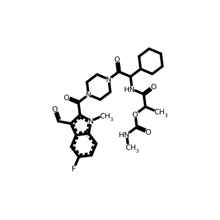 CNC(=O)OC(C)C(=O)NC(C(=O)N1CCN(C(=O)c2c(C=O)c3cc(F)ccc3n2C)CC1)C1CCCCC1